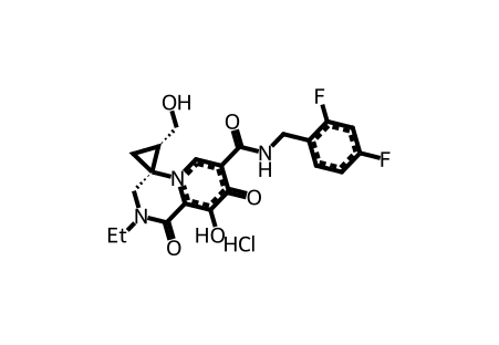 CCN1C[C@@]2(C[C@@H]2CO)n2cc(C(=O)NCc3ccc(F)cc3F)c(=O)c(O)c2C1=O.Cl